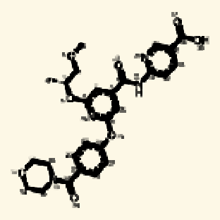 COC[C@@H](C)Oc1cc(C(=O)Nc2ccc(C(=O)O)cn2)cc(Oc2ccc(C(=O)N3CCOCC3)cc2)n1